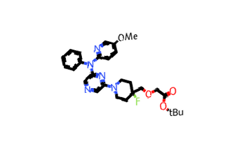 COc1ccc(N(c2ccccc2)c2cncc(N3CCC(F)(COCC(=O)OC(C)(C)C)CC3)n2)nc1